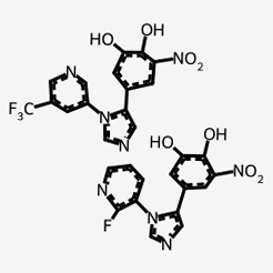 O=[N+]([O-])c1cc(-c2cncn2-c2cccnc2F)cc(O)c1O.O=[N+]([O-])c1cc(-c2cncn2-c2cncc(C(F)(F)F)c2)cc(O)c1O